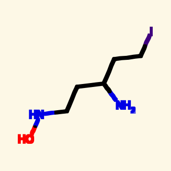 NC(CCI)CCNO